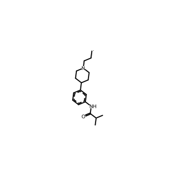 [CH2]CCN1CCC(c2cccc(NC(=O)C(C)C)c2)CC1